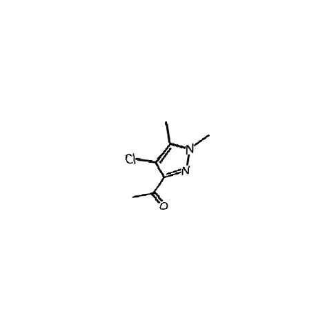 CC(=O)c1nn(C)c(C)c1Cl